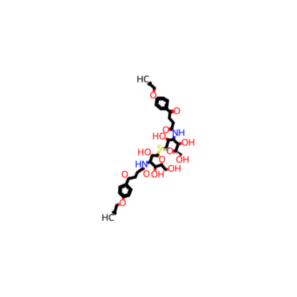 C#CCOc1ccc(C(=O)CCC(=O)NC2C(O)C(CO)OC(S[C@@H]3O[C@H](CO)C(O)C(NC(=O)CCC(=O)c4ccc(OCC#C)cc4)C3O)C2O)cc1